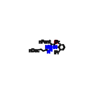 CCCCCCCCCCCCc1nnn(C(CCCCC)C(=O)Nc2c(C(C)C)cccc2C(C)C)n1